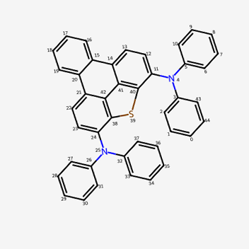 c1ccc(N(c2ccccc2)c2ccc3c4ccccc4c4ccc(N(c5ccccc5)c5ccccc5)c5sc2c3c54)cc1